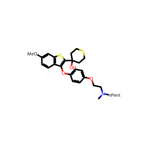 CCCCCN(C)CCOc1ccc(Oc2c(C3(O)CCSCC3)sc3cc(OC)ccc23)cc1